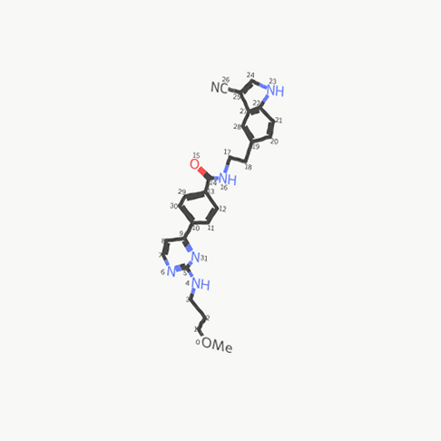 COCCCNc1nccc(-c2ccc(C(=O)NCCc3ccc4[nH]cc(C#N)c4c3)cc2)n1